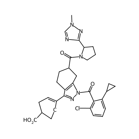 Cn1cnc(C2CCCN2C(=O)C2CCc3c(C4=CCC(C(=O)O)CC4)nn(C(=O)c4c(Cl)cccc4C4CC4)c3C2)n1